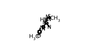 COc1ccc(Cn2cc(-c3nc(Nc4nsc(C)n4)sc3C#N)cn2)cc1